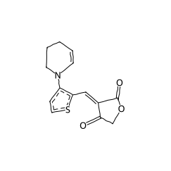 O=C1COC(=O)C1=Cc1sccc1N1C=CCCC1